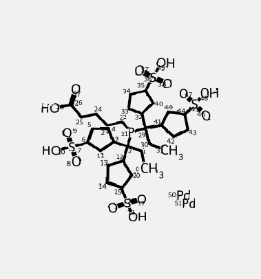 CCC(C1CCC(S(=O)(=O)O)C1)(C1CCC(S(=O)(=O)O)C1)P(CCCCC(=O)O)C(CC)(C1CCC(S(=O)(=O)O)C1)C1CCC(S(=O)(=O)O)C1.[Pd].[Pd]